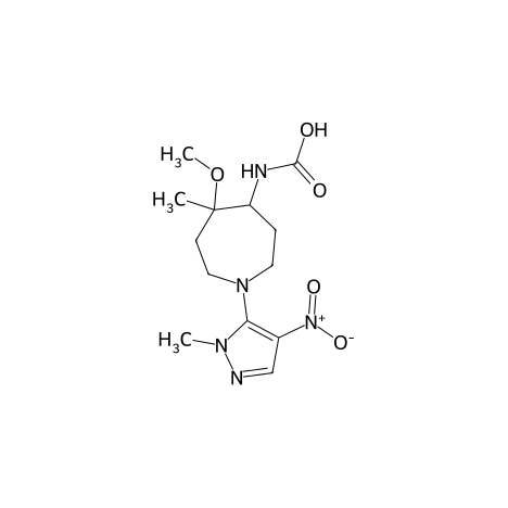 COC1(C)CCN(c2c([N+](=O)[O-])cnn2C)CCC1NC(=O)O